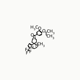 CC[C@@H](C)Oc1ccc(C(=O)N2CCC3(CC2)c2ccc(C(F)(F)F)n2CCN3C)cc1OC